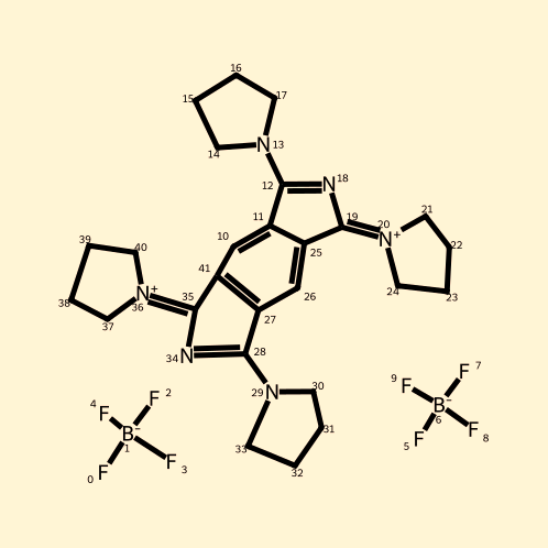 F[B-](F)(F)F.F[B-](F)(F)F.c1c2c(N3CCCC3)nc(=[N+]3CCCC3)c2cc2c(N3CCCC3)nc(=[N+]3CCCC3)c12